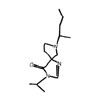 CCCC(C)N1CCC2(C1)N=CN(C(C)C)C2=O